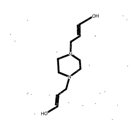 OC=CCN1CCN(CC=CO)CC1